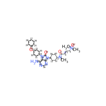 CN(C(=O)/C=C/C[N+](C)(C)[O-])[C@H]1CC[C@@H](n2c(=O)n(-c3ccc(Oc4ccccc4)cc3)c3c(N)ncnc32)CC1